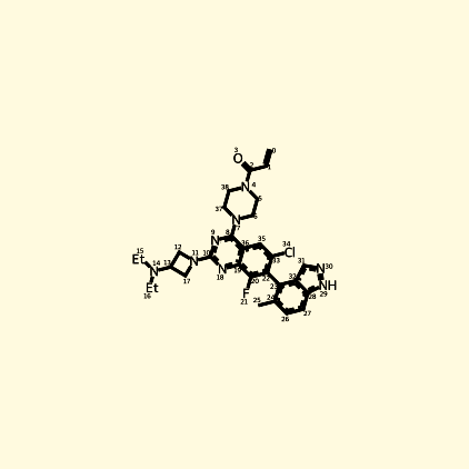 C=CC(=O)N1CCN(c2nc(N3CC(N(CC)CC)C3)nc3c(F)c(-c4c(C)ccc5[nH]ncc45)c(Cl)cc23)CC1